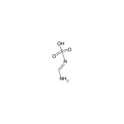 NC=NS(=O)(=O)O